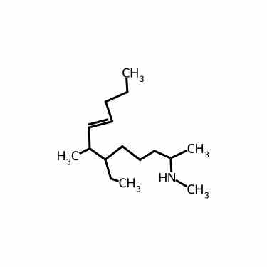 CCCC=CC(C)C(CC)CCCC(C)NC